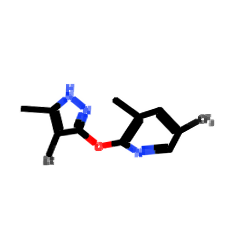 CCc1c(Oc2ncc(C(F)(F)F)cc2C)n[nH]c1C